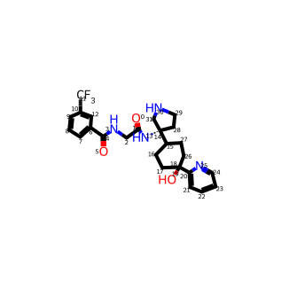 O=C(CNC(=O)c1cccc(C(F)(F)F)c1)N[C@@]1(C2CCC(O)(c3ccccn3)CC2)CCNC1